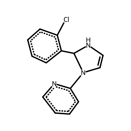 Clc1ccccc1C1NC=CN1c1ccccn1